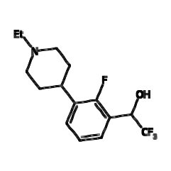 CCN1CCC(c2cccc(C(O)C(F)(F)F)c2F)CC1